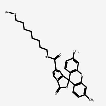 Cc1ccc2c(c1)Oc1cc(C)ccc1C21OC(=O)c2ccc(C(=O)NCCCCCCCCOC(C)C)cc21